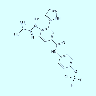 CC(O)c1nc2cc(C(=O)Nc3ccc(OC(F)(F)Cl)cc3)cc(-c3ccn[nH]3)c2n1C(C)C